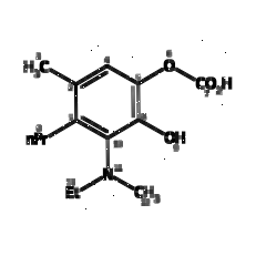 CCCc1c(C)cc(OC(=O)O)c(O)c1N(C)CC